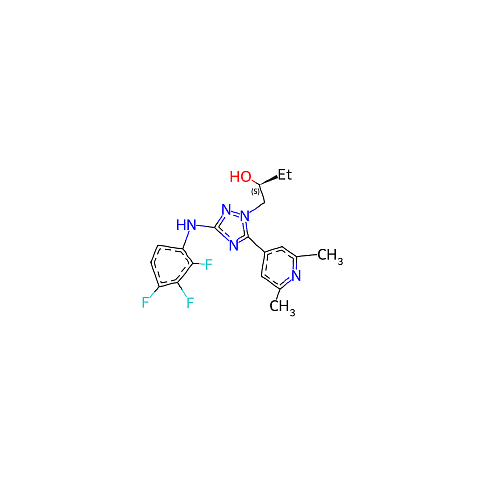 CC[C@H](O)Cn1nc(Nc2ccc(F)c(F)c2F)nc1-c1cc(C)nc(C)c1